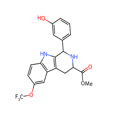 COC(=O)C1Cc2c([nH]c3ccc(OC(F)(F)F)cc23)C(c2cccc(O)c2)N1